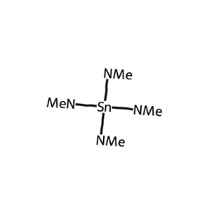 C[NH][Sn]([NH]C)([NH]C)[NH]C